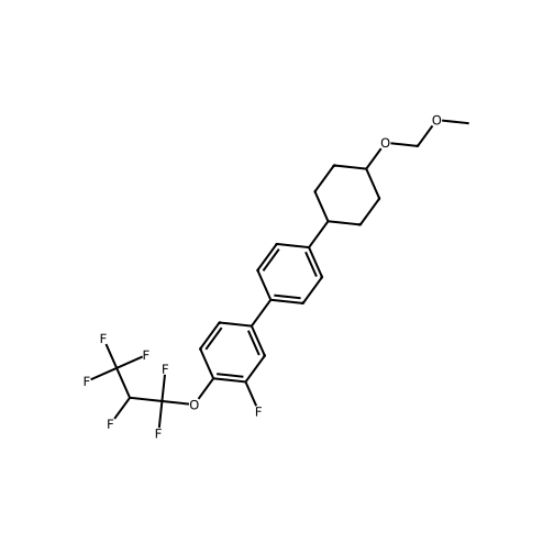 COCOC1CCC(c2ccc(-c3ccc(OC(F)(F)C(F)C(F)(F)F)c(F)c3)cc2)CC1